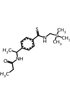 CCC(=O)NC(C)c1ccc(C(=S)NC[Si](C)(C)C)cc1